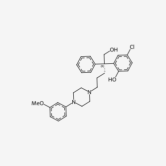 COc1cccc(N2CCN(CCC[C@@](CO)(c3ccccc3)c3cc(Cl)ccc3O)CC2)c1